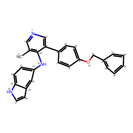 N#Cc1cncc(-c2ccc(OCc3ccccc3)cc2)c1Nc1ccc2[nH]ccc2c1